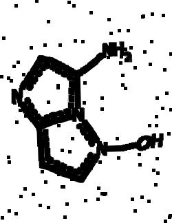 Nc1cnc2ccn(O)n12